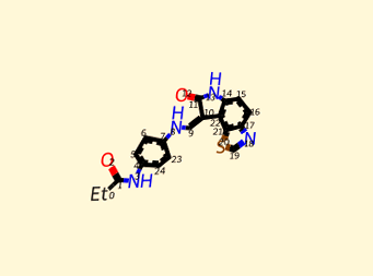 CCC(=O)Nc1ccc(NC=C2C(=O)Nc3ccc4ncsc4c32)cc1